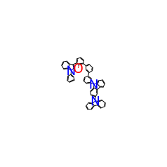 c1ccc(-n2c3ccccc3c3c4cccc(-c5cccc(-c6cccc(-n7c8ccccc8c8cc(-n9c%10ccccc%10c%10ccccc%109)ccc87)c6)c5)c4oc32)cc1